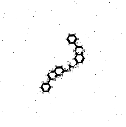 O=C(Nc1ccc2ncc(-c3ccccc3)nc2c1)Nc1ccc2ncc(-c3ccccc3)nc2n1